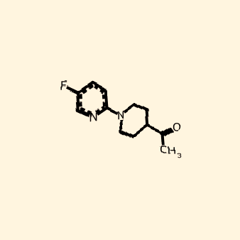 CC(=O)C1CCN(c2ccc(F)cn2)CC1